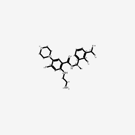 C[C@@H](NC(=O)c1cc(N2CCOCC2)c(F)cc1NCCN)c1cccc(C(F)F)c1F